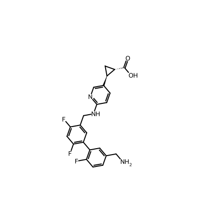 NCc1ccc(F)c(-c2cc(CNc3ccc([C@H]4C[C@@H]4C(=O)O)cn3)c(F)cc2F)c1